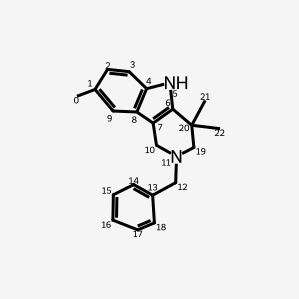 Cc1ccc2[nH]c3c(c2c1)CN(Cc1ccccc1)CC3(C)C